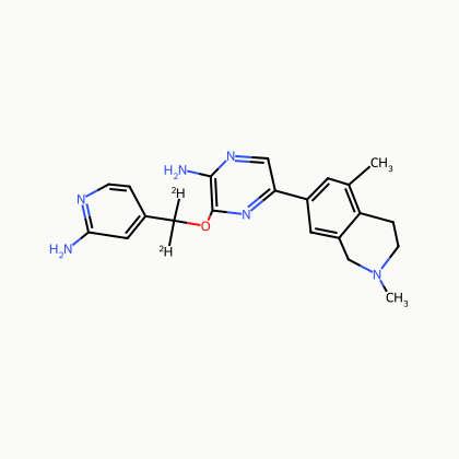 [2H]C([2H])(Oc1nc(-c2cc(C)c3c(c2)CN(C)CC3)cnc1N)c1ccnc(N)c1